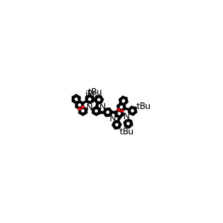 CC(C)c1ccc2c(c1)c1c(N(c3ccccc3)c3ccc(C(C)(C)C)cc3-c3cccc4ccccc34)ccc3c4cc5c(cc4n2c31)c1ccc(N(c2ccccc2)c2ccc(C(C)(C)C)cc2-c2cccc3ccccc23)c2c3cc(C(C)(C)C)ccc3n5c12